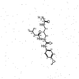 COc1ccc(NC(=O)[C@H](CCCNC(N)=O)NC(=O)CC(C)C)cc1